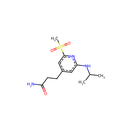 CC(C)Nc1cc([CH]CC(N)=O)cc(S(C)(=O)=O)n1